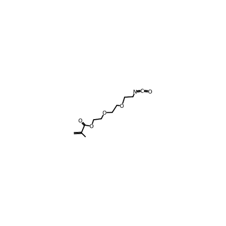 C=C(C)C(=O)OCCOCCOCCN=C=O